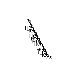 C/C=N/CCCC(O)CC(O)C/C=C/C(O)CC(O)CC(O)CC(O)C/C=C/C(O)CC(O)CC(O)CC(C)=O